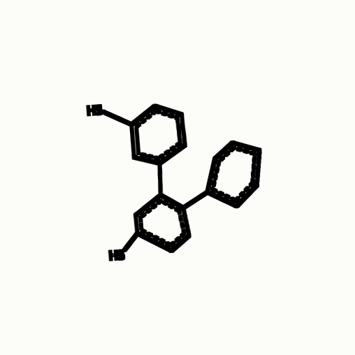 Sc1cccc(-c2cc(S)ccc2-c2ccccc2)c1